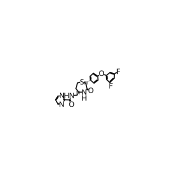 O=C(NC[C@H]1CCS[C@H](c2ccc(Oc3cc(F)cc(F)c3)cc2)C(=O)N1)c1ncccn1